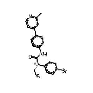 Cc1cc(-c2ccc(NC(=O)[C@@H](CC(C)C)c3ccc(Br)cc3)cc2)ccn1